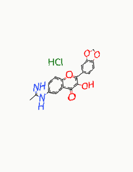 CC(=N)Nc1ccc2oc(-c3ccc4c(c3)OCO4)c(O)c(=O)c2c1.Cl